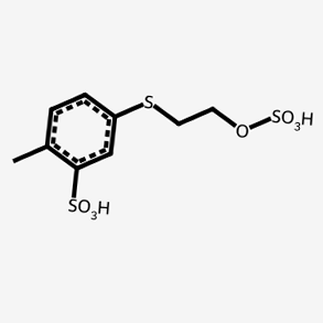 Cc1ccc(SCCOS(=O)(=O)O)cc1S(=O)(=O)O